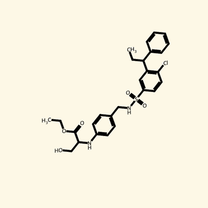 CCOC(=O)C(CO)Nc1ccc(CNS(=O)(=O)c2ccc(Cl)c(C(CC)c3ccccc3)c2)cc1